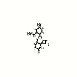 Fc1ccc(COc2ccc(Br)cc2CBr)c(C(F)(F)F)c1